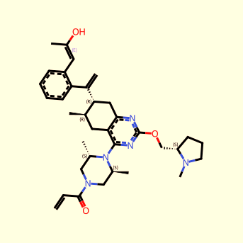 C=CC(=O)N1C[C@H](C)N(c2nc(OC[C@@H]3CCCN3C)nc3c2C[C@@H](C)[C@H](C(=C)c2ccccc2/C=C(\C)O)C3)[C@@H](C)C1